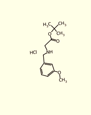 COc1cccc(CNCC(=O)OC(C)(C)C)c1.Cl